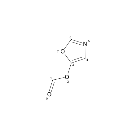 O=[C]Oc1cnco1